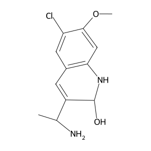 COc1cc2c(cc1Cl)C=C(C(C)N)C(O)N2